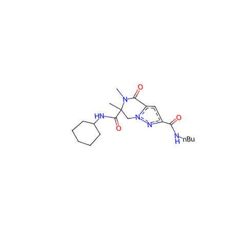 CCCCNC(=O)c1cc2n(n1)CC(C)(C(=O)NC1CCCCC1)N(C)C2=O